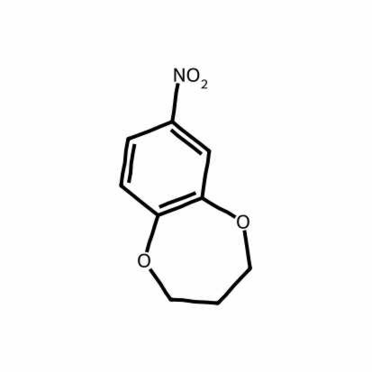 O=[N+]([O-])c1ccc2c(c1)OCCCO2